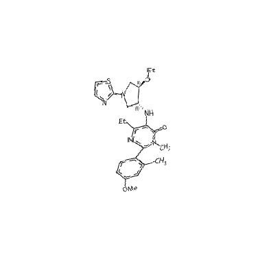 CCO[C@@H]1CN(c2nccs2)C[C@H]1Nc1c(CC)nc(-c2ccc(OC)cc2C)n(C)c1=O